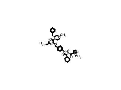 CCC(=O)NC(/N=C/c1ccc(NC(=O)[C@@H](NC(=O)c2ccnn2C)C2CCCCC2)cc1)C(=O)N1CCN(C)C[C@@H]1Cc1ccccc1